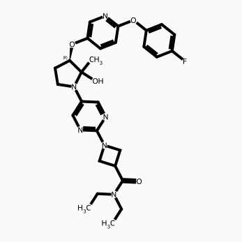 CCN(CC)C(=O)C1CN(c2ncc(N3CC[C@@H](Oc4ccc(Oc5ccc(F)cc5)nc4)C3(C)O)cn2)C1